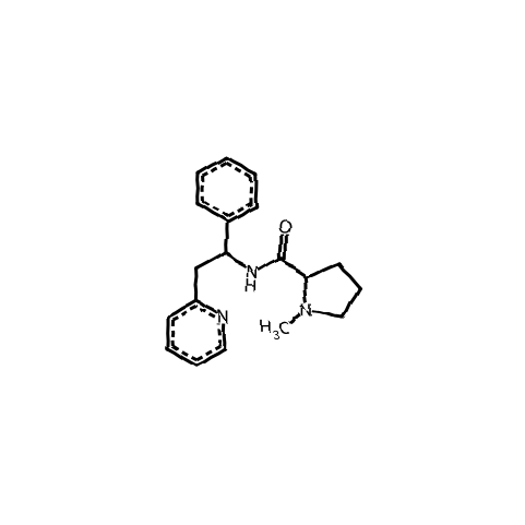 CN1CCCC1C(=O)NC(Cc1ccccn1)c1ccccc1